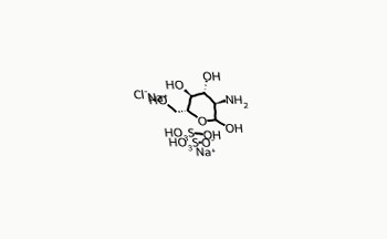 N[C@H]1C(O)O[C@H](CO)[C@@H](O)[C@@H]1O.O=S(=O)(O)O.O=S(=O)([O-])O.[Cl-].[Na+].[Na+]